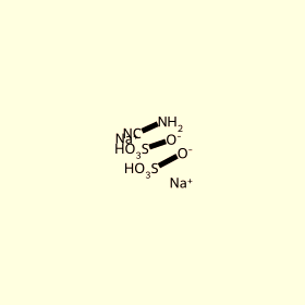 N#CN.O=S(=O)([O-])O.O=S(=O)([O-])O.[Na+].[Na+]